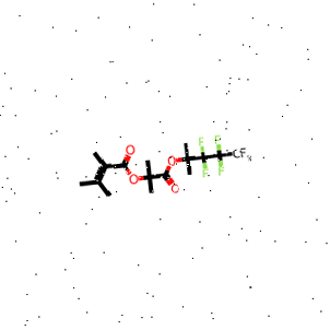 CC(C)=C(C)C(=O)OC(C)(C)C(=O)OC(C)(C)C(F)(F)C(F)(F)C(F)(F)F